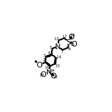 COc1cc(CN2CCS(=O)(=O)CC2)ccc1[N+](=O)[O-]